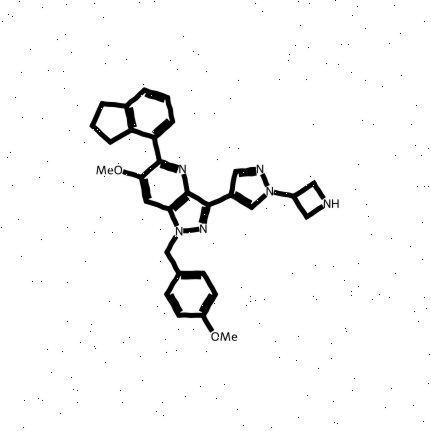 COc1ccc(Cn2nc(-c3cnn(C4CNC4)c3)c3nc(-c4cccc5c4CCC5)c(OC)cc32)cc1